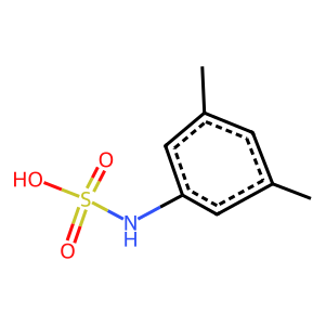 Cc1cc(C)cc(NS(=O)(=O)O)c1